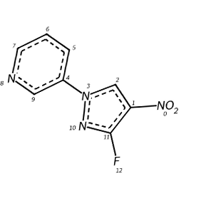 O=[N+]([O-])c1cn(-c2cccnc2)nc1F